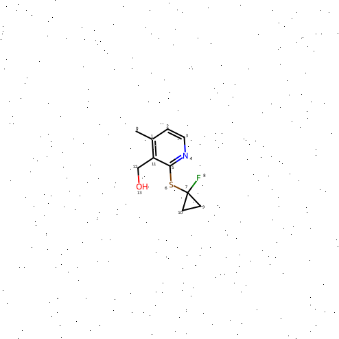 Cc1ccnc(SC2(F)CC2)c1CO